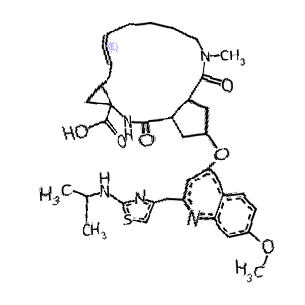 COc1ccc2c(OC3CC4C(=O)NC5(C(=O)O)CC5/C=C/CCCCN(C)C(=O)C4C3)cc(-c3csc(NC(C)C)n3)nc2c1